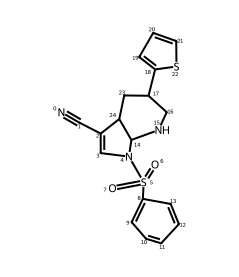 N#CC1=CN(S(=O)(=O)c2ccccc2)C2NCC(c3cccs3)CC12